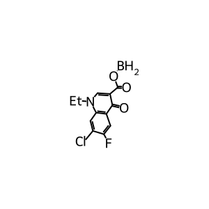 BOC(=O)c1cn(CC)c2cc(Cl)c(F)cc2c1=O